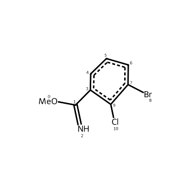 COC(=N)c1cccc(Br)c1Cl